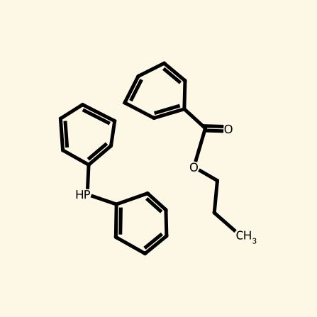 CCCOC(=O)c1ccccc1.c1ccc(Pc2ccccc2)cc1